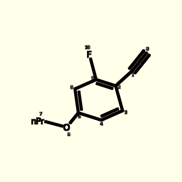 C#Cc1ccc(OC[CH]C)cc1F